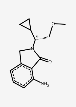 COC[C@@H](C1CC1)N1Cc2cccc(N)c2C1=O